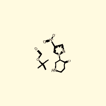 CC(C)(C)OC=O.O=C1CCNCC1n1cc([N+](=O)[O-])cn1